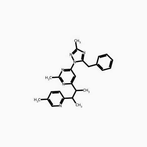 Cc1ccc(C(C)C(C)c2cc(-n3nc(C)nc3Cc3ccccc3)nc(C)n2)nc1